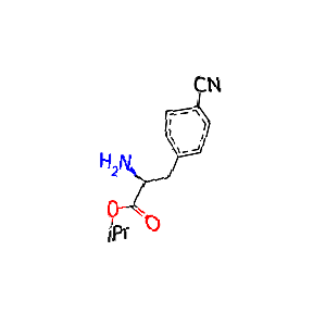 CC(C)OC(=O)[C@@H](N)Cc1ccc(C#N)cc1